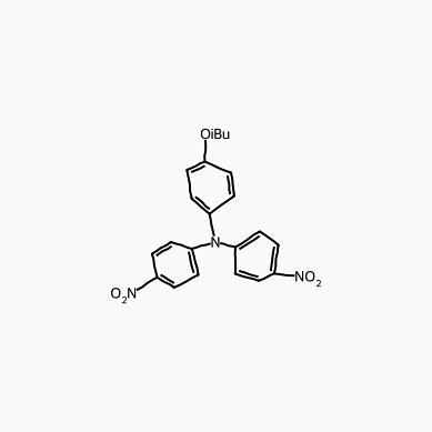 CC(C)COc1ccc(N(c2ccc([N+](=O)[O-])cc2)c2ccc([N+](=O)[O-])cc2)cc1